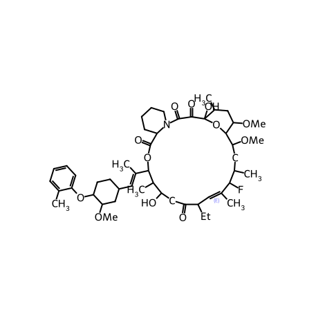 CCC1/C=C(\C)C(F)C(C)CC(OC)C2OC(O)(C(=O)C(=O)N3CCCCC3C(=O)OC(C(C)=CC3CCC(Oc4ccccc4C)C(OC)C3)C(C)C(O)CC1=O)C(C)CC2OC